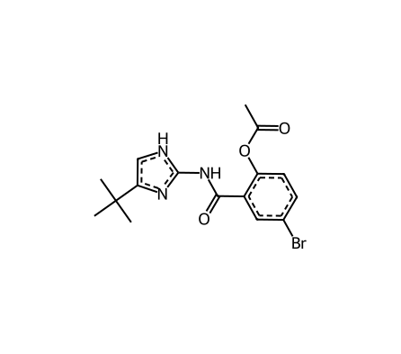 CC(=O)Oc1ccc(Br)cc1C(=O)Nc1nc(C(C)(C)C)c[nH]1